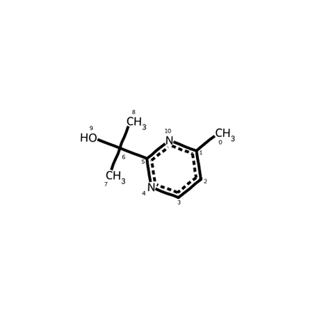 Cc1ccnc(C(C)(C)O)n1